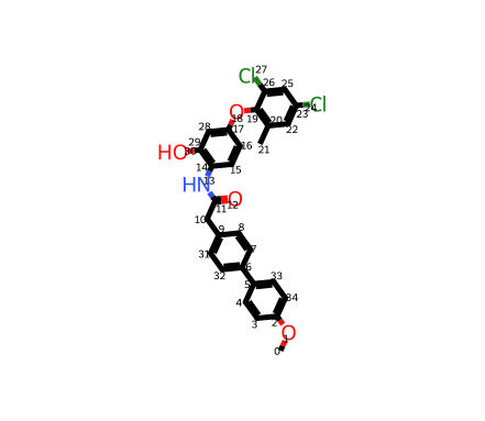 COc1ccc(-c2ccc(CC(=O)Nc3ccc(Oc4c(C)cc(Cl)cc4Cl)cc3O)cc2)cc1